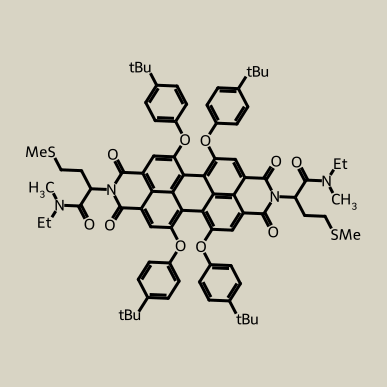 CCN(C)C(=O)C(CCSC)N1C(=O)c2cc(Oc3ccc(C(C)(C)C)cc3)c3c4c(Oc5ccc(C(C)(C)C)cc5)cc5c6c(cc(Oc7ccc(C(C)(C)C)cc7)c(c7c(Oc8ccc(C(C)(C)C)cc8)cc(c2c37)C1=O)c64)C(=O)N(C(CCSC)C(=O)N(C)CC)C5=O